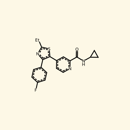 CCc1nc(-c2ccc(F)cc2)c(-c2ccnc(C(=O)NC3CC3)c2)s1